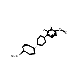 CCCCCC1C=CC([C@H]2CC[C@H](c3ccc(OCC)c(F)c3F)CC2)CC1